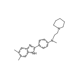 Cc1cc2nc(-c3ccc(N(C)CCN4CCCCC4)cc3)[nH]c2cc1C